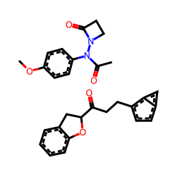 COc1ccc(N(C(C)=O)N2CCC2=O)cc1.O=C(CCc1ccc2cc1-2)C1Cc2ccccc2O1